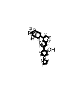 Oc1cc(-n2cccn2)ccc1-c1cc2c(nn1)C(C1CC3CC(F)(F)C[C@H](C1)N3)=CCO2